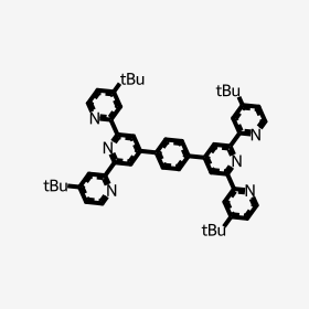 CC(C)(C)c1ccnc(-c2cc(-c3ccc(-c4cc(-c5cc(C(C)(C)C)ccn5)nc(-c5cc(C(C)(C)C)ccn5)c4)cc3)cc(-c3cc(C(C)(C)C)ccn3)n2)c1